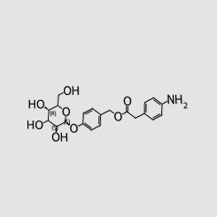 Nc1ccc(CC(=O)OCc2ccc(O[C@@H]3OC(CO)[C@H](O)C(O)[C@@H]3O)cc2)cc1